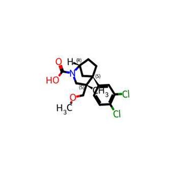 COC[C@]1(C)CN(C(=O)O)[C@@H]2CC[C@@]1(c1ccc(Cl)c(Cl)c1)C2